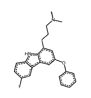 CN(C)CCCc1cc(Oc2ccccc2)cc2c1[nH]c1ccc(F)cc12